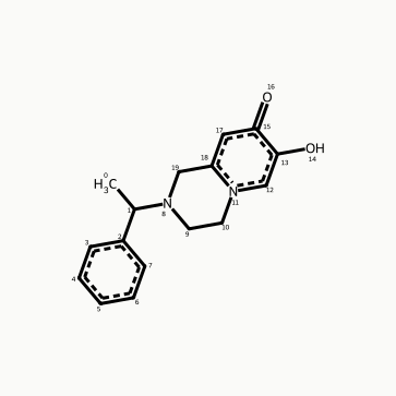 CC(c1ccccc1)N1CCn2cc(O)c(=O)cc2C1